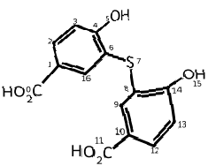 O=C(O)c1ccc(O)c(Sc2cc(C(=O)O)ccc2O)c1